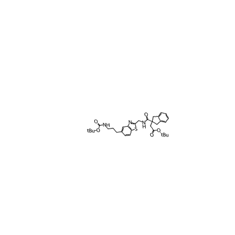 CC(C)(C)OC(=O)CC1(C(=O)NCc2nc3cc(CCCNC(=O)OC(C)(C)C)ccc3s2)Cc2ccccc2C1